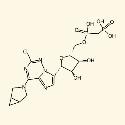 O=P(O)(O)CP(=O)(O)OC[C@H]1O[C@@H](c2cnc3c(N4CC5CC5C4)nc(Cl)nn23)[C@H](O)[C@@H]1O